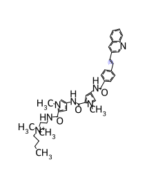 CCCC[N+](C)(C)CCNC(=O)c1cc(NC(=O)c2cc(NC(=O)c3ccc(/C=C/c4cnc5ccccc5c4)cc3)cn2C)cn1C